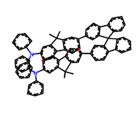 CC1(C)c2cc(-c3ccc4c(c3)C3(c5ccccc5-4)c4ccccc4-c4ccc(-c5ccc6c(c5)C(C)(C)c5cc(N(c7ccccc7)c7ccccc7)ccc5-6)cc43)ccc2-c2ccc(N(c3ccccc3)c3ccccc3)cc21